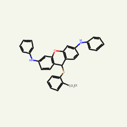 CCOC(=O)c1ccccc1SC1c2ccc(Nc3ccccc3)cc2Oc2cc(Nc3ccccc3)ccc21